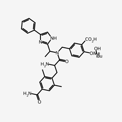 CCC(C)O.COc1ccc(CN(C(=O)C(N)Cc2c(C)cc(C(N)=O)cc2C)C(C)c2nc(-c3ccccc3)c[nH]2)cc1C(=O)O